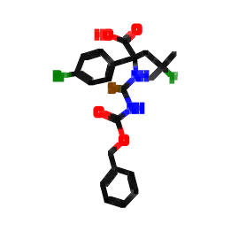 CC(C)(F)CC(NC(=S)NC(=O)OCc1ccccc1)(C(=O)O)c1ccc(Br)cc1